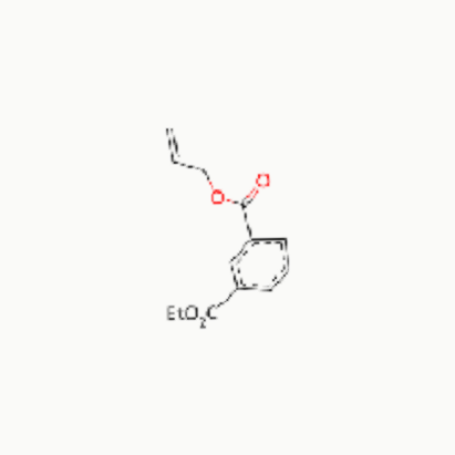 C=CCOC(=O)c1cccc(C(=O)OCC)c1